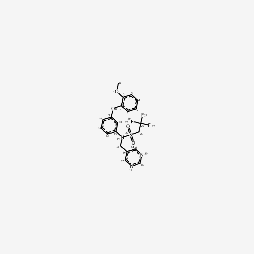 COc1ccccc1Oc1cccc(N(Cc2cncnc2)S(=O)(=O)CC(F)(F)F)c1